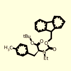 CCN(C(=O)OCC1c2ccccc2-c2ccccc21)[C@@H](Cc1ccc(C)cc1)C(=O)OC(C)(C)C